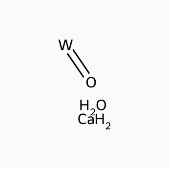 O.[CaH2].[O]=[W]